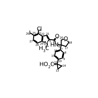 Cn1c(C(=O)NC2(c3ccc(C4(C(=O)O)CC4)cc3)CCOC2)cc2c(Cl)c(I)ccc21